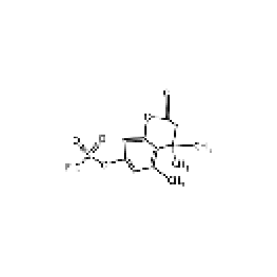 Cc1cc(OS(=O)(=O)C(F)(F)F)cc2c1C(C)(C)CC(=O)O2